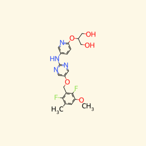 COc1cc(C)c(F)c(COc2cnc(Nc3ccc(OC(CO)CO)nc3)nc2)c1F